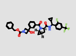 O=C(NC(c1ccc(C(F)(F)F)cc1F)C1CC1)[C@H]1C[C@H]2C[C@H]2N1C(=O)c1cccc(C2(O)CN(C(=O)OCc3ccccc3)C2)c1